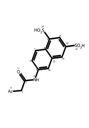 CC(=O)CC(=O)Nc1ccc2c(S(=O)(=O)O)cc(S(=O)(=O)O)cc2c1